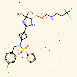 CC1(C)N=C(C23CC(N(Cc4ccc(Cl)cc4)S(=O)(=O)c4cccs4)(C2)C3)N[C@H]1COCNCCC(F)(F)F